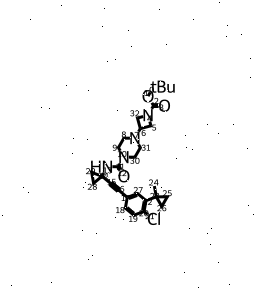 CC(C)(C)OC(=O)N1CC(N2CCN(C(=O)NC3(C#Cc4ccc(Cl)c(C5(C)CC5)c4)CC3)CC2)C1